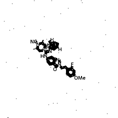 COc1ccc(CCn2cnc3cc(NC(=N[C@H]4C[C@H]5C[C@@H]([C@@H]4C)C5(C)C)N4C[C@H](C)N(C#N)[C@@H](C)C4)ccc3c2=O)c(F)c1